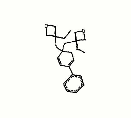 CCC1(CC2(CC3(CC)COC3)C=CC(c3ccccc3)=CC2)COC1